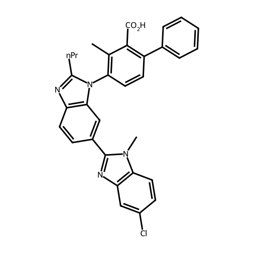 CCCc1nc2ccc(-c3nc4cc(Cl)ccc4n3C)cc2n1-c1ccc(-c2ccccc2)c(C(=O)O)c1C